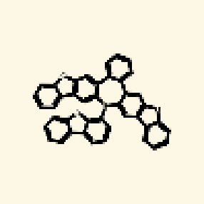 c1ccc2c(c1)-c1cc3oc4ccccc4c3cc1B(c1cccc3c1oc1ccccc13)c1cc3c(cc1-2)oc1ccccc13